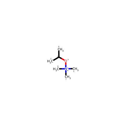 CC(C)O[N+](C)(C)C